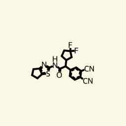 N#Cc1ccc(C(C(=O)Nc2nc3c(s2)CCC3)C2CCC(F)(F)C2)cc1C#N